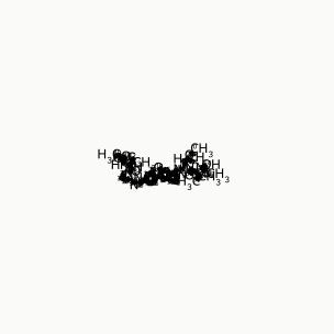 CCO[C@H]1C[C@@H](c2nc3ccc4cc5c(cc4c3[nH]2)OCc2cc(-c3cnc([C@@H]4CCCN4C(=O)[C@@H](NC(=O)OC)C(C)C)[nH]3)ccc2-5)N(C(=O)[C@@H](NC(O)OC)C(C)C)C1